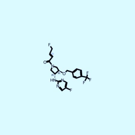 O=C(/C=C/CF)N1C[C@@H](Nc2ncc(F)cn2)[C@H](OCc2ccc(C(F)(F)F)cc2)C1